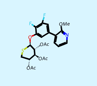 COc1ncccc1-c1cc(F)c(F)c(O[C@@H]2SC[C@@H](OC(C)=O)[C@H](OC(C)=O)[C@H]2OC(C)=O)c1